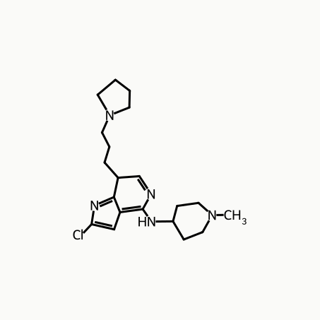 CN1CCC(NC2=C3C=C(Cl)N=C3C(CCCN3CCCC3)C=N2)CC1